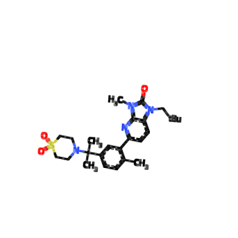 Cc1ccc(C(C)(C)N2CCS(=O)(=O)CC2)cc1-c1ccc2c(n1)n(C)c(=O)n2CC(C)(C)C